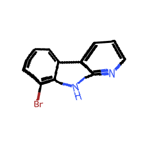 Brc1cccc2c1[nH]c1ncccc12